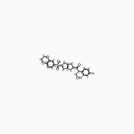 Cc1ccc([C@@H](CO)C(=O)N2CC3=C(C2)CN(S(=O)(=O)c2cnc4c(c2)OCCO4)C3)cc1